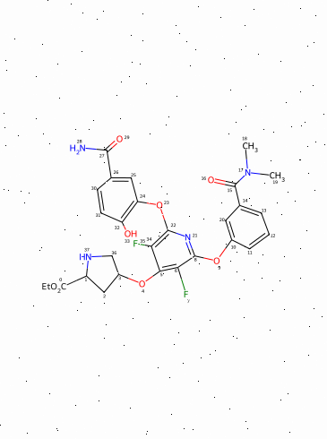 CCOC(=O)C1CC(Oc2c(F)c(Oc3cccc(C(=O)N(C)C)c3)nc(Oc3cc(C(N)=O)ccc3O)c2F)CN1